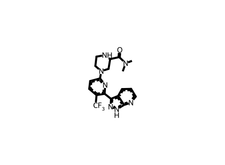 CN(C)C(=O)C1CN(c2ccc(C(F)(F)F)c(-c3n[nH]c4ncccc34)n2)CCN1